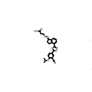 CC(C)Oc1ccc(-c2nc(-c3cccc4c3CCC4=NOCCC(=O)O)no2)cc1C#N